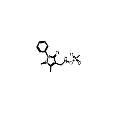 Cc1c(CNOS(C)(=O)=O)c(=O)n(-c2ccccc2)n1C